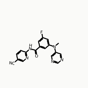 CN(c1cncnc1)c1cc(F)cc(C(=O)Nc2ccc(C#N)cn2)c1